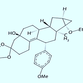 CCO[C@@]12C[C@@H]1C[C@H]1[C@@H]3CC[C@@]4(O)CC5(CCC4=C3[C@@H](c3ccc(OC)cc3)C[C@@]12C)OCCO5